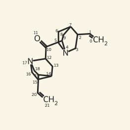 C=CC1CN2CCC1CC2C(=O)C1CC2CCN1CC2C=C